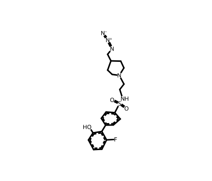 [N-]=[N+]=NCC1CCN(CCNS(=O)(=O)c2ccc(-c3c(O)cccc3F)cc2)CC1